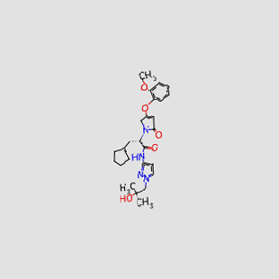 COc1ccccc1OC1=CC(=O)N([C@@H](CC2CCCC2)C(=O)Nc2ccn(CC(C)(C)O)n2)C1